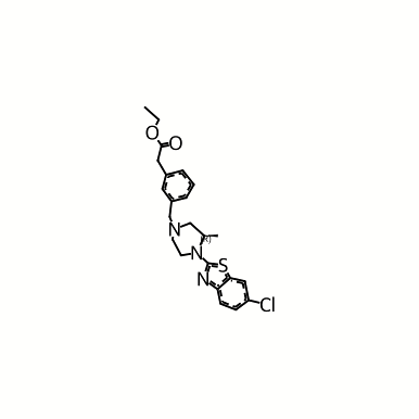 CCOC(=O)Cc1cccc(CN2CCN(c3nc4ccc(Cl)cc4s3)[C@H](C)C2)c1